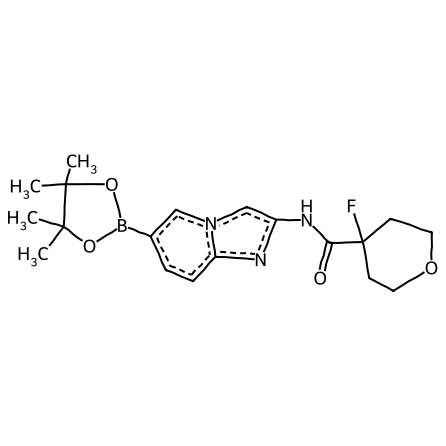 CC1(C)OB(c2ccc3nc(NC(=O)C4(F)CCOCC4)cn3c2)OC1(C)C